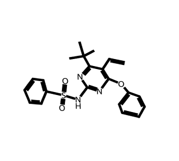 C=Cc1c(Oc2ccccc2)nc(NS(=O)(=O)c2ccccc2)nc1C(C)(C)C